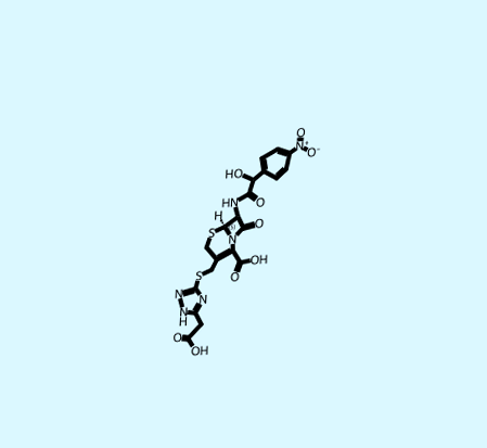 O=C(O)Cc1nc(SCC2=C(C(=O)O)N3C(=O)C(NC(=O)C(O)c4ccc([N+](=O)[O-])cc4)[C@@H]3SC2)n[nH]1